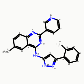 COc1ccc2nc(-c3cccnc3)nc(Nc3cc(-c4ccccc4C(F)(F)F)n[nH]3)c2c1